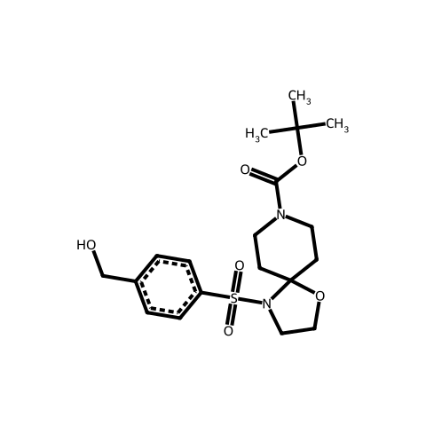 CC(C)(C)OC(=O)N1CCC2(CC1)OCCN2S(=O)(=O)c1ccc(CO)cc1